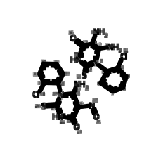 Nc1c(N)n(-c2ccccc2Cl)c(=S)[nH]c1=O.Nc1c(N=O)c(=O)[nH]c(=S)n1-c1ccccc1Cl